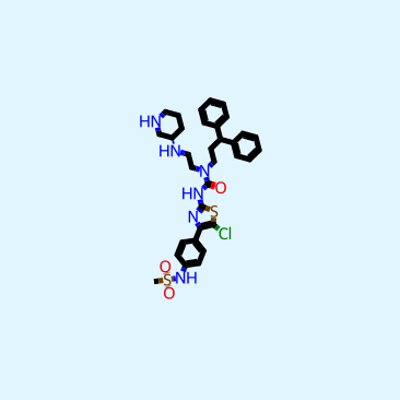 CS(=O)(=O)Nc1ccc(-c2nc(NC(=O)N(CCN[C@H]3CCCNC3)CCC(c3ccccc3)c3ccccc3)sc2Cl)cc1